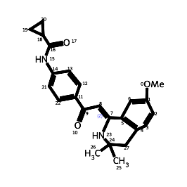 COc1ccc2c(c1)/C(=C/C(=O)c1ccc(NC(=O)C3CC3)cc1)NC(C)(C)C2